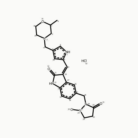 CC1CN(Cc2c[nH]c(C=C3C(=O)Nc4ccc(CN5C(=O)CC[S+]5[O-])cc43)c2)CCO1.Cl